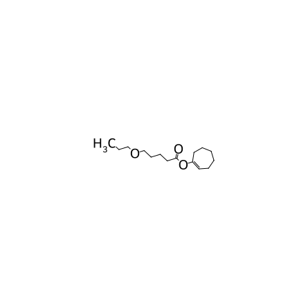 CCCOCCCCC(=O)OC1=CCCCCC1